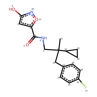 CC(CNC(=O)c1cc(O)no1)(Cc1ccc(F)cc1)C1CC1